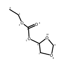 C[CH]OC(=O)OC1COCO1